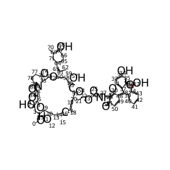 CO[C@H]1CC(C)C2(O)O[C@@H]1[C@@H](OC)C[C@@H](C)C/C(C)=C/[C@@H](CCOC(=O)NCc1c3oc4cc(O)ccc4c(-c4ccccc4C(=O)O)c-3ccc1=O)C(=O)CC(O)[C@@H](C)[C@@H](/C(C)=C/C1CCC(O)C(C)C1)OC(=O)C1CCCCN1C(=O)C2=O